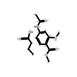 CCCC(=O)O.COC(=O)c1ccc(NC(C)=O)cc1OC